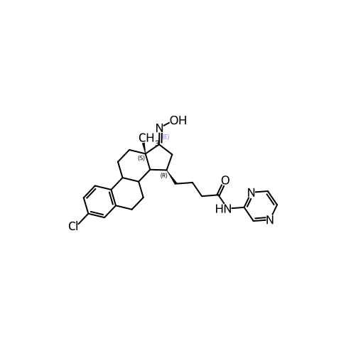 C[C@]12CCC3c4ccc(Cl)cc4CCC3C1[C@H](CCCC(=O)Nc1cnccn1)C/C2=N\O